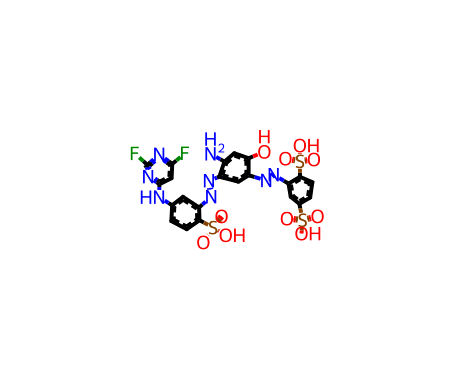 Nc1cc(O)c(/N=N/c2cc(S(=O)(=O)O)ccc2S(=O)(=O)O)cc1/N=N/c1cc(Nc2cc(F)nc(F)n2)ccc1S(=O)(=O)O